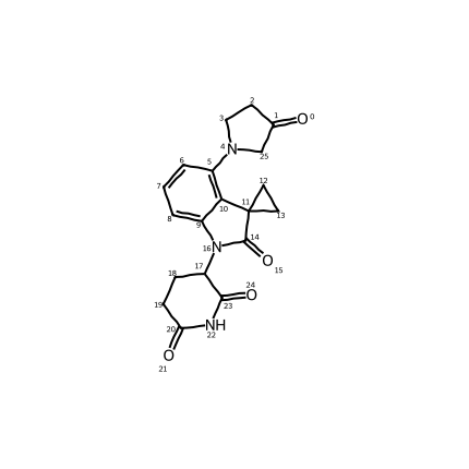 O=C1CCN(c2cccc3c2C2(CC2)C(=O)N3C2CCC(=O)NC2=O)C1